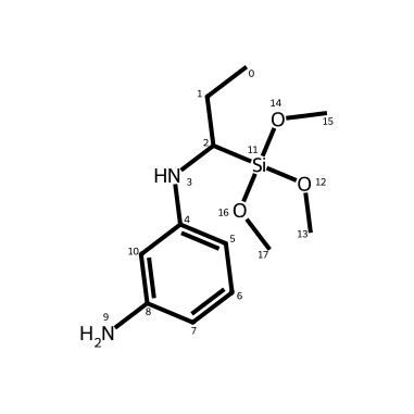 CCC(Nc1cccc(N)c1)[Si](OC)(OC)OC